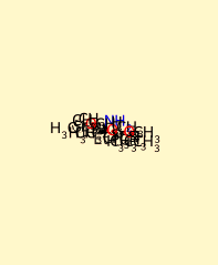 CCC(C(C)(CN)O[SiH](C)C(C)(C)O[Si](C)(C)C)[Si](C)(C)OC(C)(CC)[Si](C)(C)C